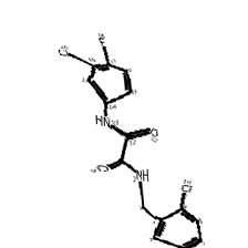 O=C(NCc1ccccc1Cl)C(=O)Nc1ccc(F)c(Cl)c1